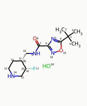 CC(C)(C)c1nc(C(=O)NC[C@H]2CCNC[C@H]2F)no1.Cl